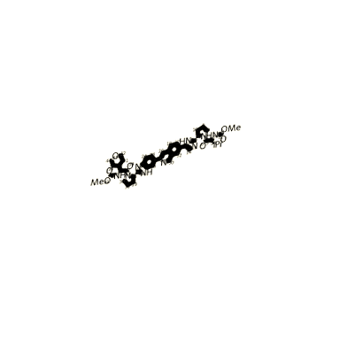 COC(=O)N[C@H](C(=O)N1CCC[C@H]1c1ncc(-c2ccc3cc(-c4ccc5nc([C@@H]6CCCN6C(=O)[C@@H](NC(=O)OC)C6CCOCC6)[nH]c5c4)ncc3c2)[nH]1)C(C)C